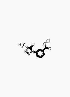 Cn1nnn(-c2cccc(C(=O)OCl)c2)c1=O